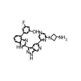 NC1CN(c2cncc(-c3cc4c(-c5nc6c(-c7cc(O)cc(F)c7)cccc6[nH]5)n[nH]c4cn3)n2)C1